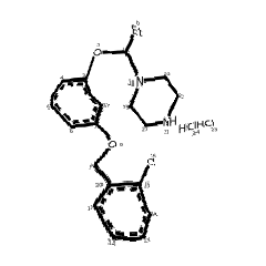 CCC(Oc1cccc(OCc2ccccc2Cl)c1)N1CCNCC1.Cl.Cl